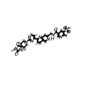 Cc1ncc(C(=O)NCc2cc3nc(-c4ccnc(N5CCC6(CC5)NC(=O)N(C)C6=O)n4)ccc3cn2)cc1S(C)(=O)=O